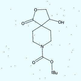 CC(C)(C)OC(=O)N1CCC2(CC1)C(=O)OCC2O